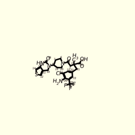 CC(CC(=O)N1CCC(N2Cc3cscc3NC2=O)CC1)(Cc1cc(Cl)c(N)c(C(F)(F)F)c1)C(=O)O